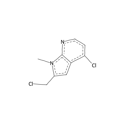 Cn1c(CCl)cc2c(Cl)ccnc21